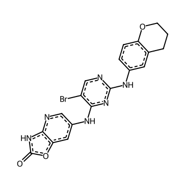 O=c1[nH]c2ncc(Nc3nc(Nc4ccc5c(c4)CCCO5)ncc3Br)cc2o1